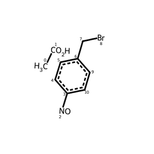 CC(=O)O.O=Nc1ccc(CBr)cc1